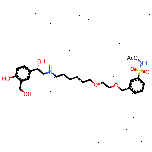 CC(=O)ONS(=O)(=O)c1cccc(COCCOCCCCCCNC[C@@H](O)c2ccc(O)c(CO)c2)c1